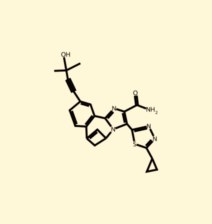 CC(C)(O)C#Cc1ccc2c(c1)-c1nc(C(N)=O)c(-c3nnc(C4CC4)s3)n1C1C=C2C1